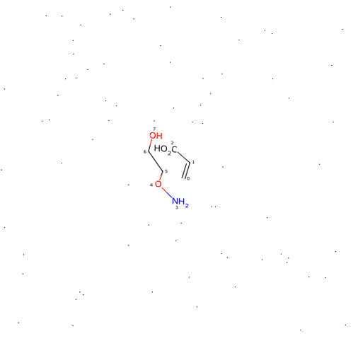 C=CC(=O)O.NOCCO